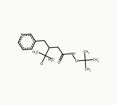 CC(C)(C)ONC(=O)CC(Cc1cccnc1)C(C)(C)[O]